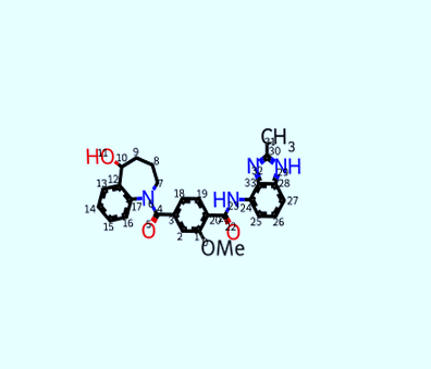 COc1cc(C(=O)N2CCCC(O)c3ccccc32)ccc1C(=O)Nc1cccc2[nH]c(C)nc12